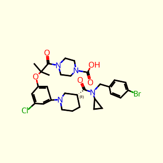 CC(C)(Oc1cc(Cl)cc(N2CCC[C@@H](C(=O)N(Cc3ccc(Br)cc3)C3CC3)C2)c1)C(=O)N1CCN(C(=O)O)CC1